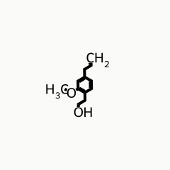 C=CCc1ccc(CCO)c(OC)c1